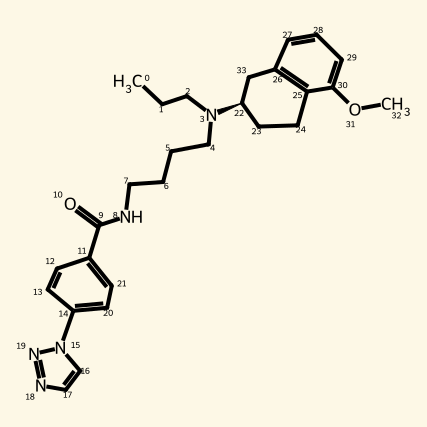 CCCN(CCCCNC(=O)c1ccc(-n2ccnn2)cc1)[C@@H]1CCc2c(cccc2OC)C1